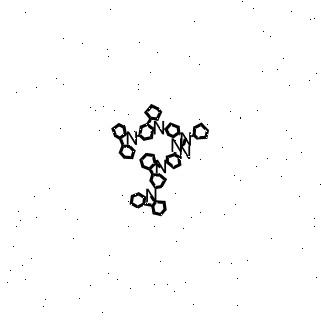 c1ccc(-n2c3ccc(-n4c5ccccc5c5cc(-n6c7ccccc7c7ccccc76)ccc54)cc3n3c4cc(-n5c6ccccc6c6cc(-n7c8ccccc8c8ccccc87)ccc65)ccc4nc23)cc1